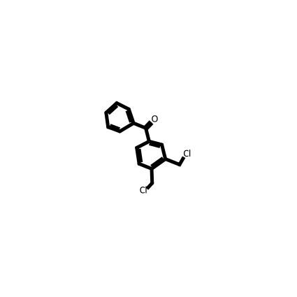 O=C(c1ccccc1)c1ccc(CCl)c(CCl)c1